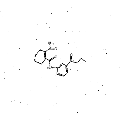 CCOC(=O)c1cccc(NC(=O)C2=C(C(N)=O)CCCC2)c1